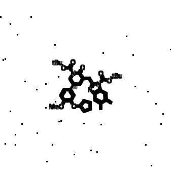 COc1ccc([C@@H]2CC(Cc3nc4cc(C)c(C)cc4n3C(=O)OC(C)(C)C)C(=O)N(C(=O)OC(C)(C)C)C2)cc1OC1CCCC1